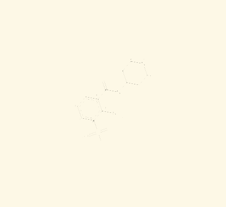 CS(=O)(=O)c1cccc(C(=O)NC2CCNCC2)c1N